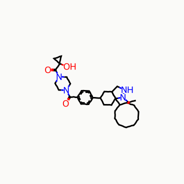 CCN1NCC2CC(c3ccc(C(=O)N4CCN(C(=O)C5(O)CC5)CC4)cc3)CCC21C1CCCCCCCCC1